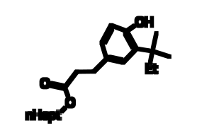 CCCCCCCOC(=O)CCc1ccc(O)c(C(C)(C)CC)c1